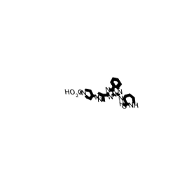 O=C1NCCCC[C@H]1Nc1nc2ccccc2c2nc(-c3cnn(C4CCN(C(=O)O)CC4)c3)nn12